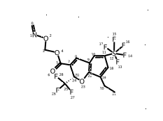 C=NOCOC(=O)C1=Cc2cc(S(F)(F)(F)(F)F)cc(CC)c2O[C@@H]1C(F)(F)F